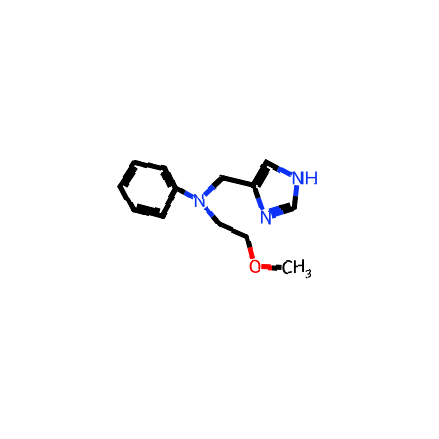 COCCN(Cc1c[nH]cn1)c1ccccc1